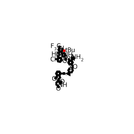 CC(C)(C)C[C@@H]1N[C@@H](C(=O)Nc2ccc(C(=O)N3CCC4(CC3)C[C@@H]4C#Cc3cccc4c3CN(C3CCC(=O)NC3=O)C4=O)cc2C(C)(C)N)[C@H](c2cccc(Cl)c2F)[C@]12CNc1cc(C(F)(F)F)ncc12